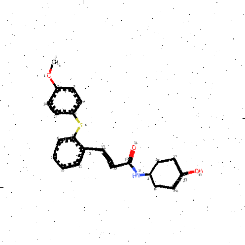 COc1ccc(Sc2ccccc2C=CC(=O)NC2CCC(O)CC2)cc1